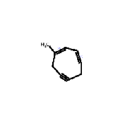 C/C1=C/C=C\CC#CC1